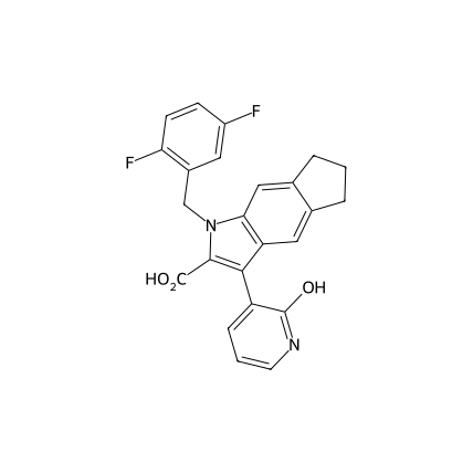 O=C(O)c1c(-c2cccnc2O)c2cc3c(cc2n1Cc1cc(F)ccc1F)CCC3